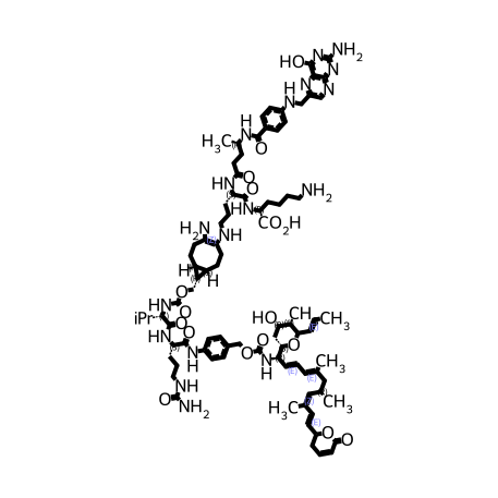 C/C=C/C1O[C@H]([C@@H](/C=C/C=C(\C)C[C@@H](C)/C=C(C)\C=C\C2CC=CC(=O)O2)NC(=O)OCc2ccc(NC(=O)[C@H](CCCNC(N)=O)NC(=O)[C@@H](NC(=O)OC[C@@H]3[C@@H]4CC/C(N)=C(/NCCC[C@H](NC(=O)CC[C@@H](C)NC(=O)c5ccc(NCc6cnc7nc(N)nc(O)c7n6)cc5)C(=O)N[C@H](CCCCN)C(=O)O)CC[C@@H]43)C(C)C)cc2)C[C@@H](O)[C@@H]1C